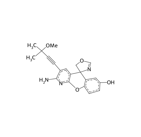 COC(C)(C)C#Cc1cc2c(nc1N)Oc1ccc(O)cc1C21COC=N1